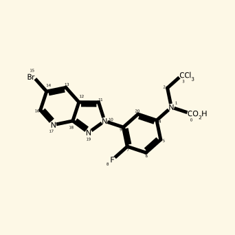 O=C(O)N(CC(Cl)(Cl)Cl)c1ccc(F)c(-n2cc3cc(Br)cnc3n2)c1